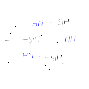 C[SiH]1N[SiH2]N[SiH2]N1